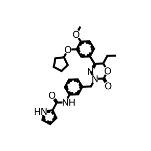 CCC1OC(=O)N(Cc2cccc(NC(=O)c3ccc[nH]3)c2)N=C1c1ccc(OC)c(OC2CCCC2)c1